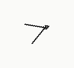 CCCCCCCCCCCCCCCCCCN(CCCCCCCCCCCCCCCCCC)c1c(C)cc(C)cc1C